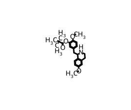 COc1ccc2c(c1)CCNC2Cc1ccc(OC)c(OC(=O)C(C)(C)C)c1